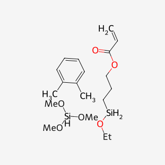 C=CC(=O)OCCC[SiH2]OCC.CO[SiH](OC)OC.Cc1ccccc1C